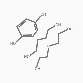 OCCCCO.OCCOCCO.Oc1ccc(O)cc1